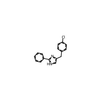 Clc1ccc(Cc2c[nH]c(-c3ccccc3)n2)cc1